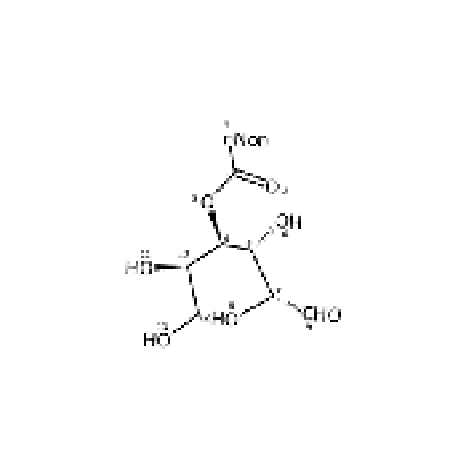 CCCCCCCCCC(=O)O[C@@H]([C@H](O)[C@@H](O)C=O)[C@H](O)CO